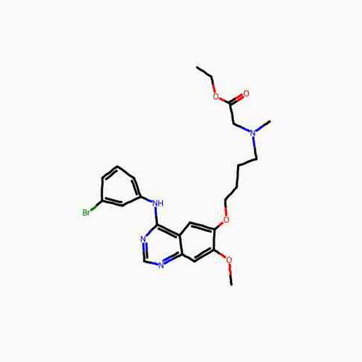 CCOC(=O)CN(C)CCCCOc1cc2c(Nc3cccc(Br)c3)ncnc2cc1OC